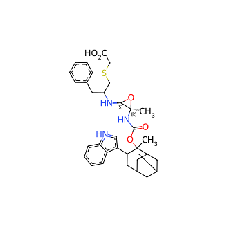 CC1(OC(=O)N[C@]2(C)O[C@@H]2NC(CSCC(=O)O)Cc2ccccc2)C2CC3CC(C2)CC1(c1c[nH]c2ccccc12)C3